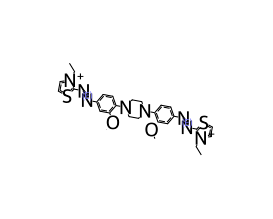 CC[n+]1ccsc1/N=N/c1ccc(N2CCN(c3ccc(/N=N/c4scc[n+]4CC)cc3OC)CC2)c(OC)c1